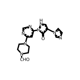 O=CN1CCN(c2cc(-n3[nH]cc(-n4ccnc4)c3=O)ncn2)CC1